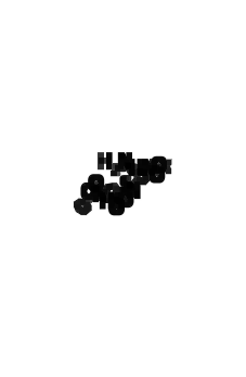 CC(C)OC(=O)Nc1ccc(-c2ncc(-c3ccc(N4CC(c5ccccc5)OC4=O)cc3[SH](=O)=O)s2)c(CC(C)(C)N)c1